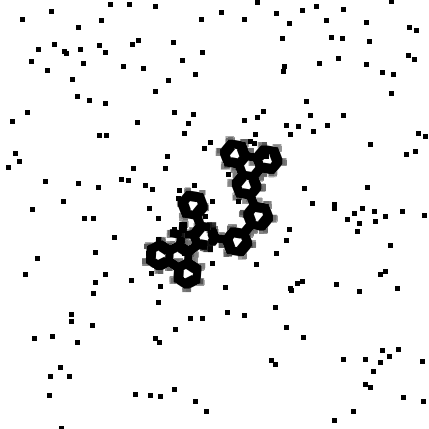 C[Si]1(C)c2c(-c3ccccc3)nc(-c3cccc(-c4cccc(-c5ccc6c7ccccc7c7ccccc7c6c5)c4)c3)nc2-c2c1c1ccccc1c1ccccc21